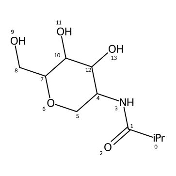 CC(C)C(=O)NC1COC(CO)C(O)C1O